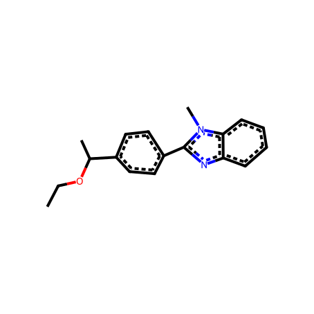 CCOC(C)c1ccc(-c2nc3ccccc3n2C)cc1